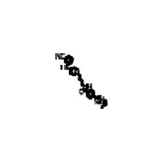 N#Cc1cccc(NC2CCN(CCCCNC(=O)c3ccc(-c4cn5ccsc5n4)cc3)CC2)c1